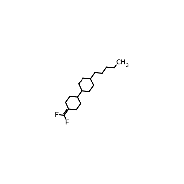 CCCCCC1CCC(C2CCC(=C(F)F)CC2)CC1